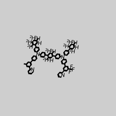 [2H]c1c([2H])c([2H])c(-c2ccc(N(c3ccc(-c4cc(C)cc(-c5ccccn5)c4)cc3)c3ccc(-c4c([2H])c([2H])c(-c5ccc(N(c6ccc(-c7cc(-c8ccccn8)cc(C(F)(F)F)c7)cc6)c6ccc(-c7c([2H])c([2H])c([2H])c([2H])c7[2H])cc6)cc5)c([2H])c4[2H])cc3)cc2)c([2H])c1[2H]